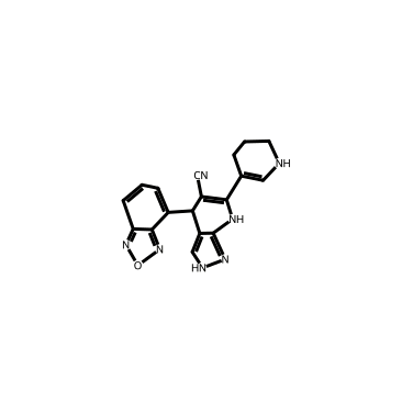 N#CC1=C(C2=CNCCC2)Nc2n[nH]cc2C1c1cccc2nonc12